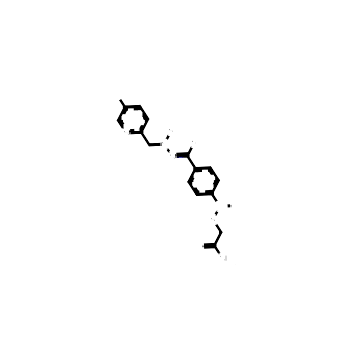 NC(=O)CN[S+]([O-])c1ccc(/C(N)=N/N(N)Cc2ccc(F)cn2)cc1